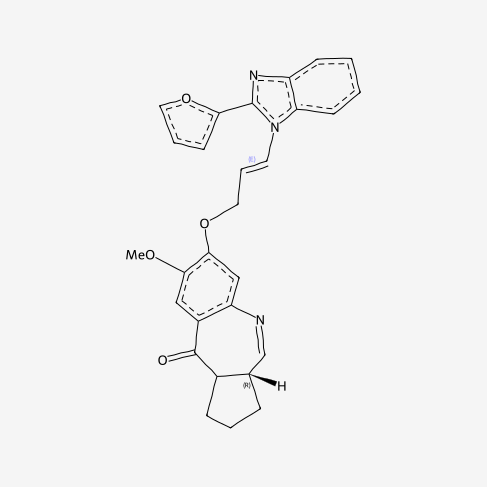 COc1cc2c(cc1OC/C=C/n1c(-c3ccco3)nc3ccccc31)N=C[C@@H]1CCCC1C2=O